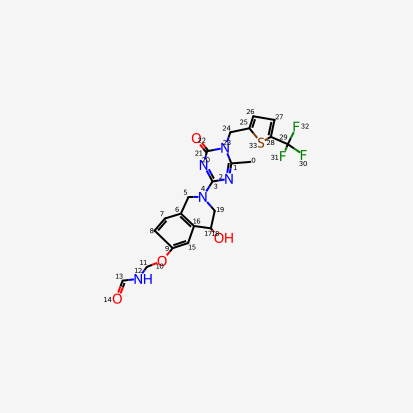 Cc1nc(N2Cc3ccc(OCNC=O)cc3C(O)C2)nc(=O)n1Cc1ccc(C(F)(F)F)s1